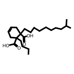 CCCCC1(C(=O)O)CC=CCC1(CCCCCCCCC(C)C)C(=O)O